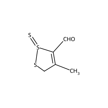 CC1=C(C=O)S(=S)SC1